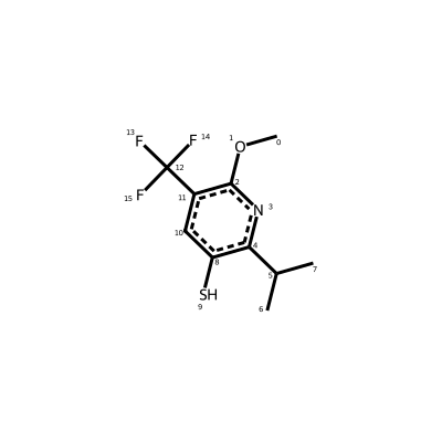 COc1nc(C(C)C)c(S)cc1C(F)(F)F